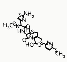 CON=C(C(=O)N[C@@H]1C(=O)N2C(C(=O)O)=C(CSc3ccc(SC)nn3)CS[C@@H]12)c1csc(N)n1